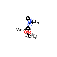 COC(=O)c1cc(Nc2ncc(C(F)(F)F)c(NC3CCCCC3)n2)ccc1B1OC(C)(C)C(C)(C)O1